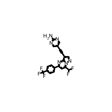 Nc1ncc(C#Cc2cnn3c(C(F)F)cc(-c4ccc(C(F)(F)F)cc4)nc23)cn1